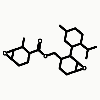 CC1CCC(C(C)C)C(C2C(COC(=O)C3CCC4OC4C3C)CCC3OC32)C1